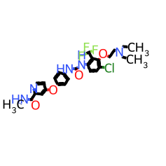 CCN(CC)CCOc1c(Cl)ccc(NC(=O)Nc2ccc(Oc3ccnc(C(=O)NC)c3)cc2)c1C(F)(F)F